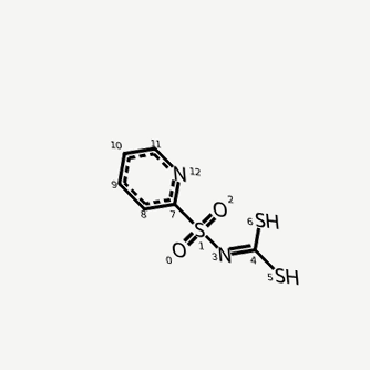 O=S(=O)(N=C(S)S)c1ccccn1